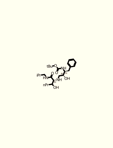 CCCC(O)[C@@H](NC[C@@H](O)[C@H](Cc1ccccc1)NC(=O)OC(C)(C)C)C(=O)NCC(C)C